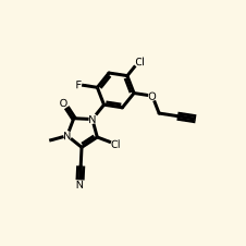 C#CCOc1cc(-n2c(Cl)c(C#N)n(C)c2=O)c(F)cc1Cl